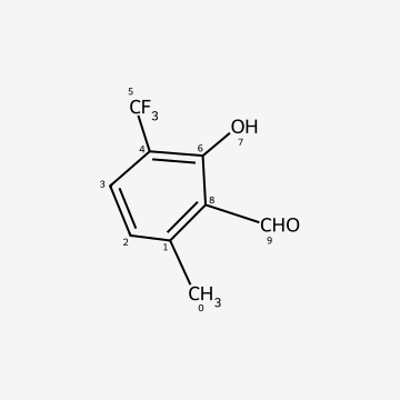 Cc1ccc(C(F)(F)F)c(O)c1C=O